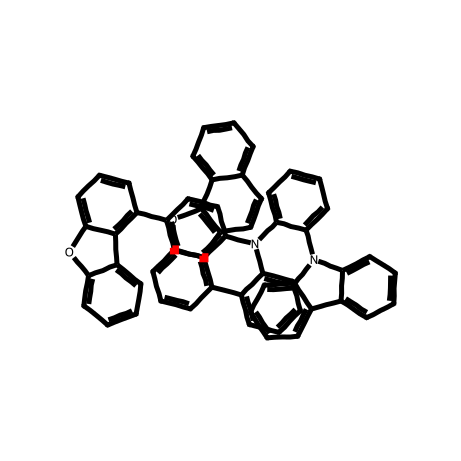 c1ccc(N(c2ccc(-c3cccc4oc5ccccc5c34)cc2)c2ccccc2-n2c3ccccc3c3ccccc32)c(-c2cccc3oc4c5ccccc5ccc4c23)c1